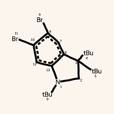 CC(C)(C)N1CC(C(C)(C)C)(C(C)(C)C)c2cc(Br)c(Br)cc21